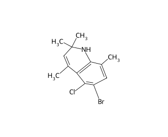 CC1=CC(C)(C)Nc2c(C)cc(Br)c(Cl)c21